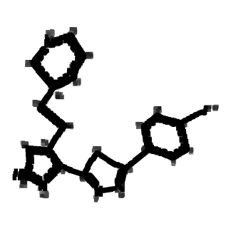 Fc1ccc(C2=NN=C(c3n[nH]cc3/C=C/c3cccnc3)C2)cc1